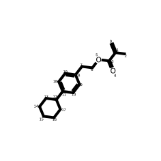 C=C(C)C(=O)OCCc1ccc(C2CCCCC2)cc1